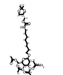 CC(=O)OC[C@H]1O[C@@H](OCCCCCCCCNC(=O)OC[C@@H]2COC(C)(C)O2)[C@H](CC(N)=O)[C@@H](OC(C)=O)[C@H]1OC(C)=O